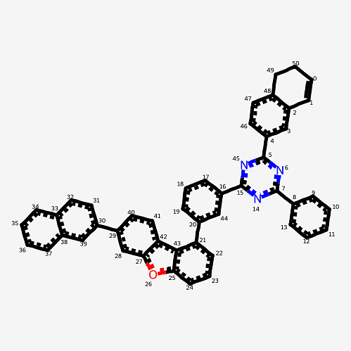 C1=Cc2cc(-c3nc(-c4ccccc4)nc(-c4cccc(-c5cccc6oc7cc(-c8ccc9ccccc9c8)ccc7c56)c4)n3)ccc2CC1